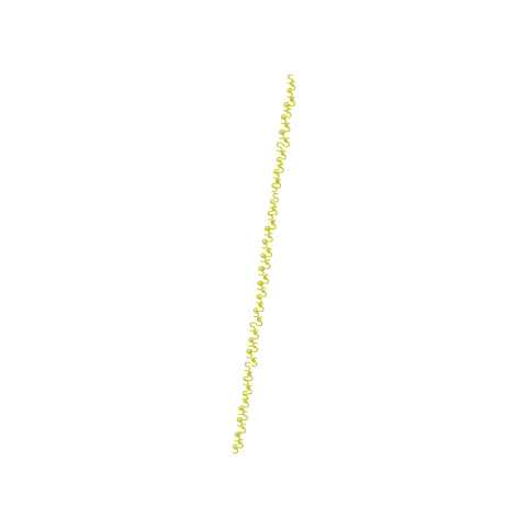 S=S=S=S=S=S=S=S=S=S=S=S=S=S=S=S=S=S=S=S=S=S=S=S=S=S=S=S=S=S=S=S=S=S=S=S=S=S=S=S=S=S=S=S=S=S=S=S=S=S=S=S=S=S=S